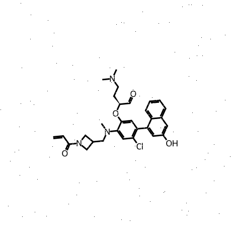 C=CC(=O)N1CC(CN(C)c2cc(Cl)c(-c3cc(O)cc4ccccc34)cc2O[C@H](C=O)CCN(C)C)C1